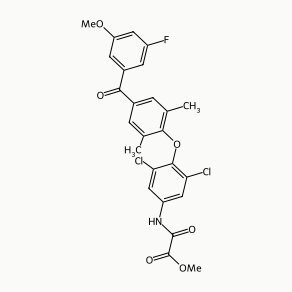 COC(=O)C(=O)Nc1cc(Cl)c(Oc2c(C)cc(C(=O)c3cc(F)cc(OC)c3)cc2C)c(Cl)c1